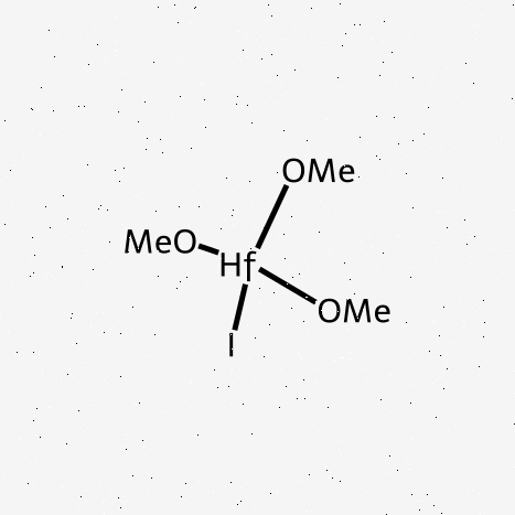 C[O][Hf]([I])([O]C)[O]C